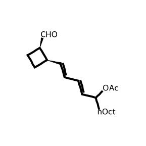 CCCCCCCCC(C=CC=C[C@H]1CC[C@H]1C=O)OC(C)=O